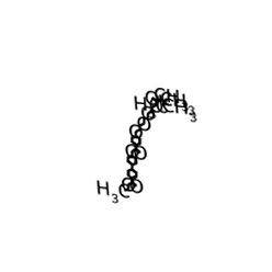 CCOC(=O)c1ccc(-c2ccc(OC(=O)c3ccc(OCCOCCOCCOC(=O)C(C)C(C)(C)C)cc3)cc2)cc1